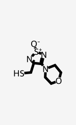 [O-][s+]1nc(CS)c(N2CCOCC2)n1